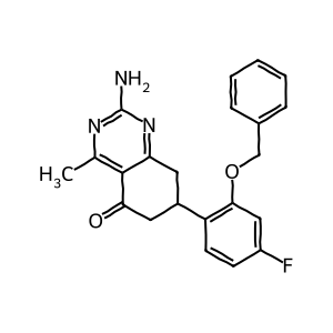 Cc1nc(N)nc2c1C(=O)CC(c1ccc(F)cc1OCc1ccccc1)C2